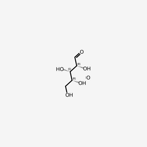 O=C[C@H](O)[C@@H](O)[C@H](O)CO.[O]